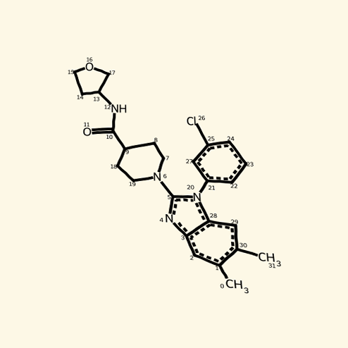 Cc1cc2nc(N3CCC(C(=O)NC4CCOC4)CC3)n(-c3cccc(Cl)c3)c2cc1C